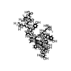 CC(C)C[C@H](NC(=O)[C@@H](NC(=O)[C@H](Cc1ccc(O)cc1)NC(=O)[C@H](CCCNC(=N)N)NC(=O)[C@H](CO)NC(=O)[C@H](CCC(=O)O)NC(=O)[C@H](C)N)C(C)C)C(=O)N[C@H](C(=O)NCC(=O)N[C@@H](CCCNC(=N)N)C(=O)N[C@@H](Cc1ccc(O)cc1)C(=O)N[C@@H](CC(=O)O)C(=O)N[C@@H](CO)C(=O)N[C@@H](C)C(=O)N1CCC[C@H]1C(=O)N[C@@H](C)C(=O)N[C@H](C(=O)N[C@@H](CC(=O)O)C(=O)O)[C@@H](C)O)[C@@H](C)O